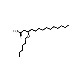 CCCCCCCCCCCC(CC(=O)O)OCCCCCC